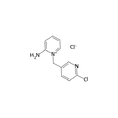 Nc1cccc[n+]1Cc1ccc(Cl)nc1.[Cl-]